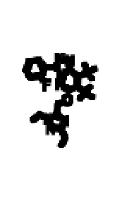 CCc1nc(COc2nn3c(-c4ccccc4F)nnc3c(C(C)(C)C)c2C(C)(C)C)n(CC)n1